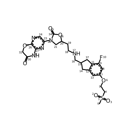 CS(=O)(=O)CCOc1cc(F)c2c(c1)CC(CNCCC1CN(c3cnc4c(n3)NC(=O)CO4)C(=O)O1)C2